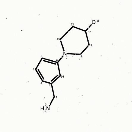 NCc1cccc(N2CCC([O])CC2)c1